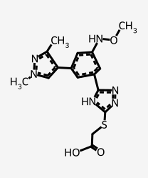 CONc1cc(-c2nnc(SCC(=O)O)[nH]2)cc(-c2cn(C)nc2C)c1